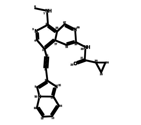 CNc1ncc(C#Cc2cn3ccccc3n2)c2cc(NC(=O)C3CC3)ncc12